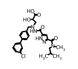 CC(C)CN(C)C(=O)c1cc(C(=O)NN(Cc2ccc(-c3cccc(Cl)c3)cc2)CC(O)C(=O)O)[nH]n1